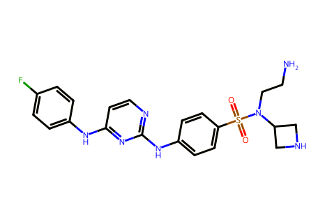 NCCN(C1CNC1)S(=O)(=O)c1ccc(Nc2nccc(Nc3ccc(F)cc3)n2)cc1